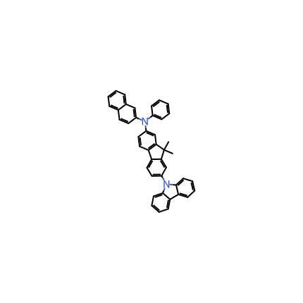 CC1(C)c2cc(N(c3ccccc3)c3ccc4ccccc4c3)ccc2-c2ccc(-n3c4ccccc4c4ccccc43)cc21